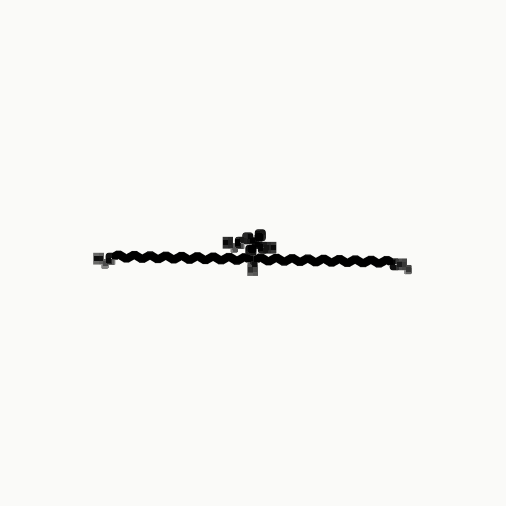 CCCCCCCCCCCCCCCCCCNCCCCCCCCCCCCCCCCCC.COS(=O)(=O)O